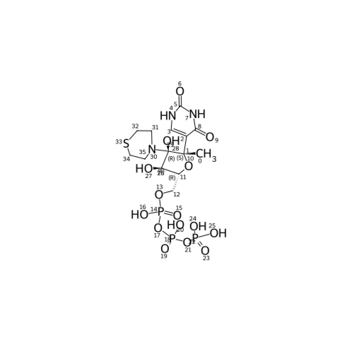 C[C@@]1(c2c[nH]c(=O)[nH]c2=O)O[C@H](COP(=O)(O)OP(=O)(O)OP(=O)(O)O)[C@@H](O)[C@]1(O)N1CCSCC1